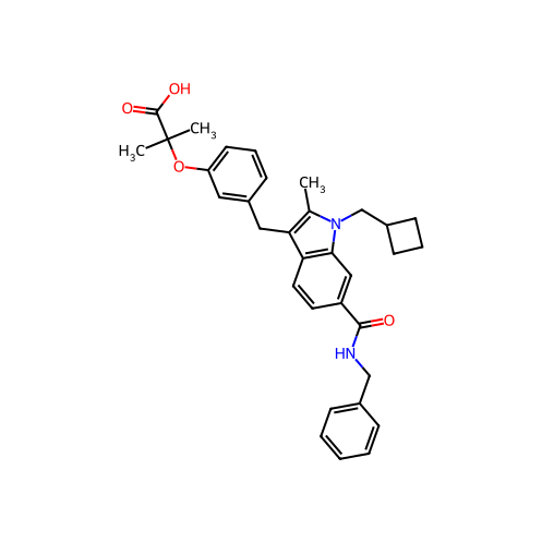 Cc1c(Cc2cccc(OC(C)(C)C(=O)O)c2)c2ccc(C(=O)NCc3ccccc3)cc2n1CC1CCC1